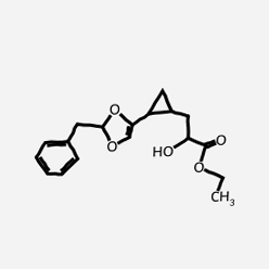 CCOC(=O)C(O)CC1CC1C1=COC(Cc2ccccc2)O1